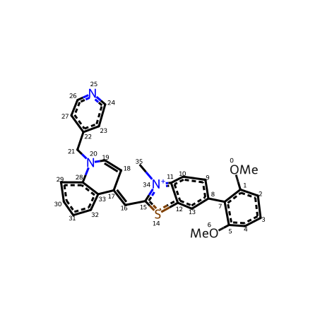 COc1cccc(OC)c1-c1ccc2c(c1)sc(C=C1C=CN(Cc3ccncc3)c3ccccc31)[n+]2C